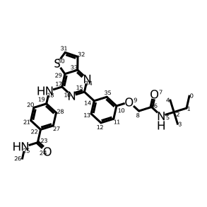 CCC(C)(C)NC(=O)COc1cccc(-c2nc(Nc3ccc(C(=O)NC)cc3)c3sccc3n2)c1